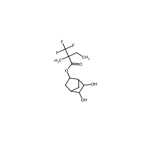 CCC(C)(C(=O)OC1CC2CC1C(O)C2O)C(F)(F)F